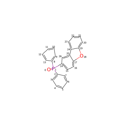 O=P(c1ccccc1)(c1ccccc1)c1ccc2oc3ccccc3c2c1